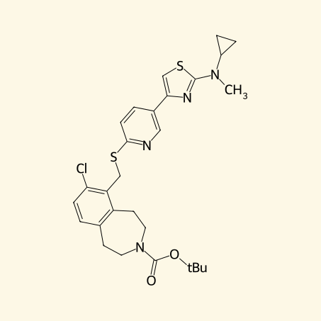 CN(c1nc(-c2ccc(SCc3c(Cl)ccc4c3CCN(C(=O)OC(C)(C)C)CC4)nc2)cs1)C1CC1